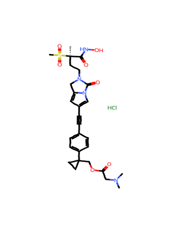 CN(C)CC(=O)OCC1(c2ccc(C#Cc3cc4n(c3)C(=O)N(CC[C@](C)(C(=O)NO)S(C)(=O)=O)C4)cc2)CC1.Cl